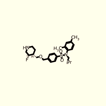 Cc1ccc(N(CC(C)C)S(=O)(=O)c2ccc(COC[C@H]3CCNC[C@H]3F)cc2)c(C)c1